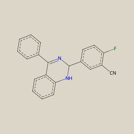 N#Cc1cc(C2N=C(c3ccccc3)c3ccccc3N2)ccc1F